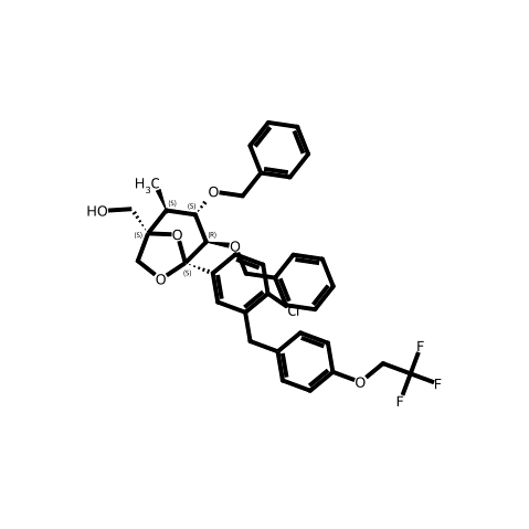 C[C@H]1[C@H](OCc2ccccc2)[C@@H](OCc2ccccc2)[C@@]2(c3ccc(Cl)c(Cc4ccc(OCC(F)(F)F)cc4)c3)OC[C@]1(CO)O2